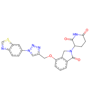 O=C1CCC(N2Cc3c(OCc4cn(-c5ccc6ncsc6c5)nn4)cccc3C2=O)C(=O)N1